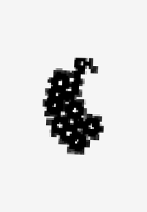 C=CCC/C=C/N(C1=CC=C(N(C2=C3C=CCCC3Cc3ccccc32)C2C=CC=CC2)CC1)c1c2c(cc3ccccc13)CCC=C2